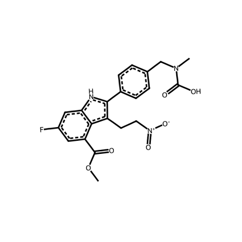 COC(=O)c1cc(F)cc2[nH]c(-c3ccc(CN(C)C(=O)O)cc3)c(CC[N+](=O)[O-])c12